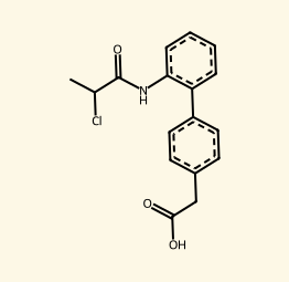 CC(Cl)C(=O)Nc1ccccc1-c1ccc(CC(=O)O)cc1